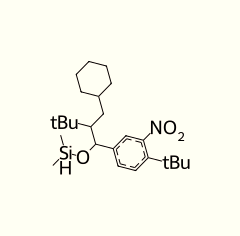 C[SiH](C)OC(c1ccc(C(C)(C)C)c([N+](=O)[O-])c1)C(CC1CCCCC1)C(C)(C)C